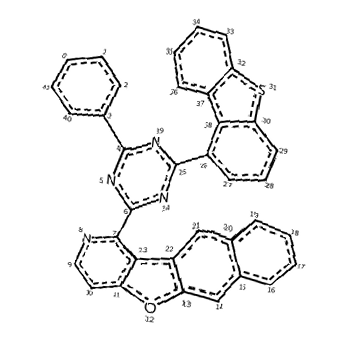 c1ccc(-c2nc(-c3nccc4oc5cc6ccccc6cc5c34)nc(-c3cccc4sc5ccccc5c34)n2)cc1